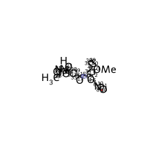 COc1cc(OCCN2CCOCC2)c(/C=C/C(=O)c2ccc(S(=O)(=O)Nc3cc(C)on3)cc2)cc1-c1cccs1